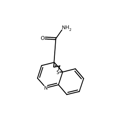 NC(=O)C1=C2C=CN=C3C=CC=CC32SC1